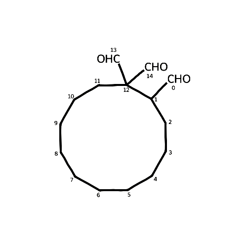 O=CC1CCCCCCCCCCC1(C=O)C=O